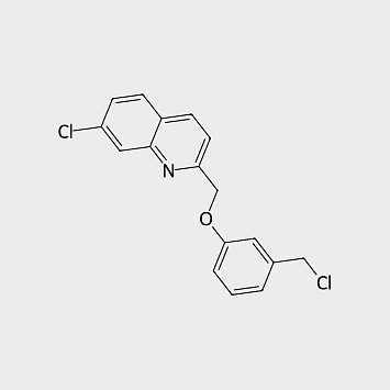 ClCc1cccc(OCc2ccc3ccc(Cl)cc3n2)c1